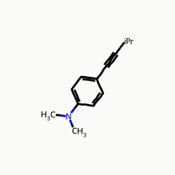 CC(C)C#Cc1ccc(N(C)C)cc1